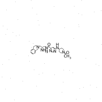 CC(=O)N1CCC(Nc2cc(C(=O)NCC(N)CN3CCc4ccccc4C3)ncn2)CC1